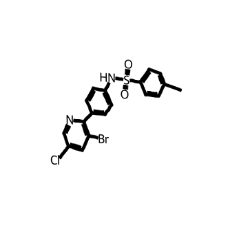 Cc1ccc(S(=O)(=O)Nc2ccc(-c3ncc(Cl)cc3Br)cc2)cc1